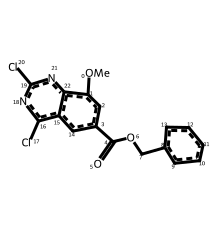 COc1cc(C(=O)OCc2ccccc2)cc2c(Cl)nc(Cl)nc12